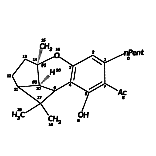 CCCCCc1cc2c(c(O)c1C(C)=O)C1[C@H]3C(CC[C@@]3(C)O2)C1(C)C